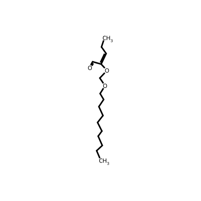 CC/C=C(\C=O)OCOCCCCCCCCCC